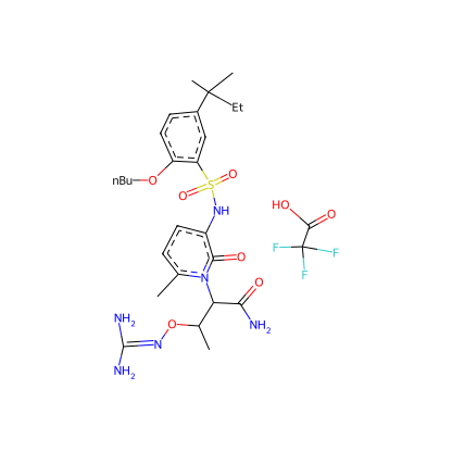 CCCCOc1ccc(C(C)(C)CC)cc1S(=O)(=O)Nc1ccc(C)n(C(C(N)=O)C(C)ON=C(N)N)c1=O.O=C(O)C(F)(F)F